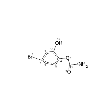 NC(=O)Oc1ccc(Br)cc1O